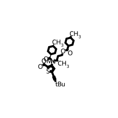 COC(=O)c1sc(C#CC(C)(C)C)cc1N(C(=O)[C@H]1CC[C@H](C)CC1)C(C)CCOC(=O)C1CCC(C)CC1